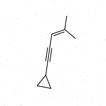 CC(C)=CC#CC1CC1